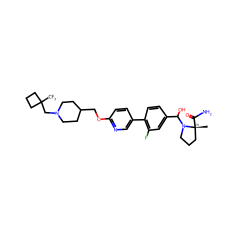 C[C@@]1(C(N)=O)CCCN1C(O)c1ccc(-c2ccc(OCC3CCN(CC4(C(F)(F)F)CCC4)CC3)nc2)c(F)c1